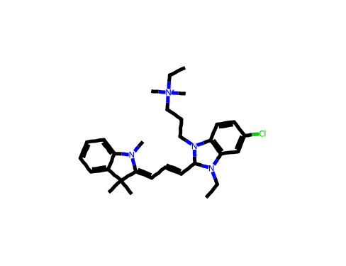 CCN1c2cc(Cl)ccc2N(CCC[N+](C)(C)CC)C1/C=C/C=C1\N(C)c2ccccc2C1(C)C